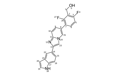 OCc1c(F)ccc(-c2ccc3nc(-c4ccc5[nH]ccc5c4)cn3c2)c1F